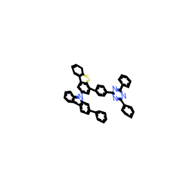 C1=CCC2Sc3c(cc(-n4c5ccccc5c5ccc(-c6ccccc6)cc54)cc3-c3ccc(-c4nc(-c5ccccc5)nc(-c5ccccc5)n4)cc3)C2=C1